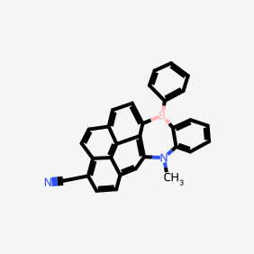 CN1c2ccccc2B(c2ccccc2)c2ccc3ccc4c(C#N)ccc5cc1c2c3c54